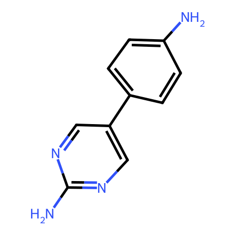 Nc1ccc(-c2cnc(N)nc2)cc1